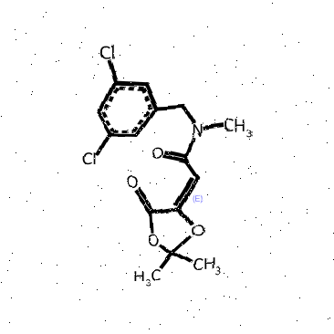 CN(Cc1cc(Cl)cc(Cl)c1)C(=O)/C=C1/OC(C)(C)OC1=O